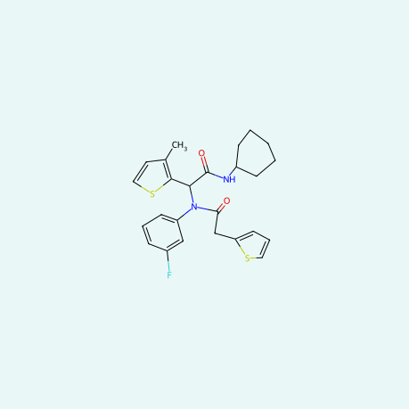 Cc1ccsc1C(C(=O)NC1CCCCC1)N(C(=O)Cc1cccs1)c1cccc(F)c1